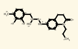 CCCN1C(=O)CCc2cc(NSN(O)Cc3ccc(C)c(F)c3F)ccc21